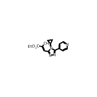 CCOC(=O)C(C)=Cc1nnc(-c2ccncc2)n1C1CC1